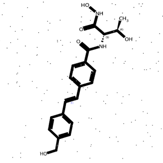 C[C@@H](O)[C@H](NC(=O)c1ccc(/C=C/c2ccc(CO)cc2)cc1)C(=O)NO